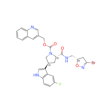 O=C(NC[C@@H]1CC(Br)=NO1)[C@@H]1C[C@@H](c2c[nH]c3ccc(F)cc23)CN1C(=O)OCc1cnc2ccccc2c1